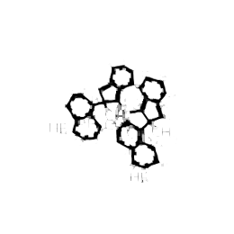 C[SiH](C)[Zr]([C]1=c2ccccc2=CC1(C)c1cccc2ccccc12)[C]1=c2ccccc2=CC1(C)c1cccc2ccccc12.F.F